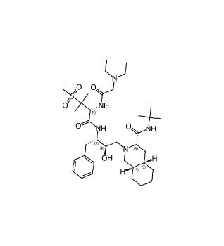 CCN(CC)CC(=O)N[C@H](C(=O)N[C@@H](Cc1ccccc1)[C@H](O)CN1C[C@H]2CCCC[C@H]2C[C@H]1C(=O)NC(C)(C)C)C(C)(C)S(C)(=O)=O